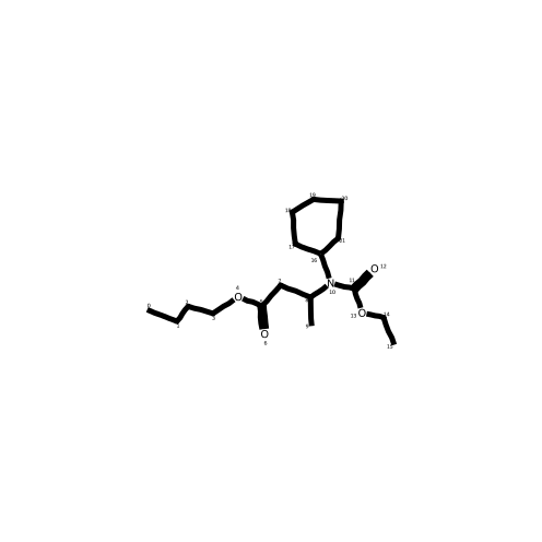 CCCCOC(=O)CC(C)N(C(=O)OCC)C1CCCCC1